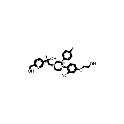 C[C@@](O)(CN1CCN(c2ccc(OCCO)cc2C#N)[C@H](c2ccc(F)cc2)C1)c1ccc(CO)nc1